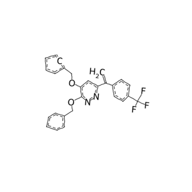 C=C(c1ccc(C(F)(F)F)cc1)c1cc(OCc2ccccc2)c(OCc2ccccc2)nn1